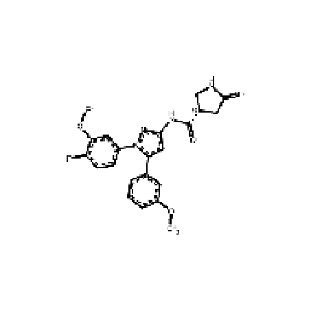 CC(C)Oc1cc(-n2nc(NC(=O)[C@@H]3CNC(=O)C3)cc2-c2cccc(OC(F)(F)F)c2)ccc1F